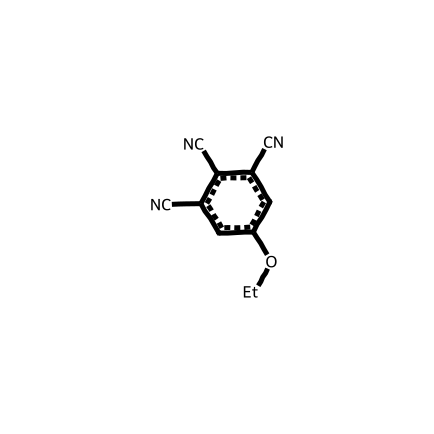 [CH2]COc1cc(C#N)c(C#N)c(C#N)c1